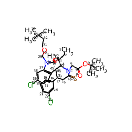 C=C(CC)[C@H]1N(CC(=O)OC(C)(C)C)C(=S)C[C@@H](c2cccc(Cl)c2)[C@]12C(=O)N(COCC[Si](C)(C)C)c1cc(Cl)ccc12